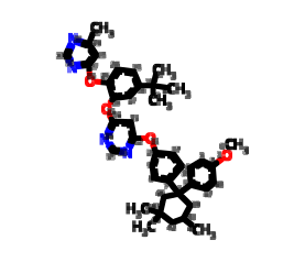 COc1ccc(C2(c3ccc(Oc4cc(Oc5cc(C(C)(C)C)ccc5Oc5cc(C)ncn5)ncn4)cc3)CC(C)CC(C)(C)C2)cc1